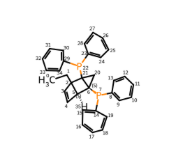 CCC12C=C[C@@H]1[C@@]1(P(c3ccccc3)c3ccccc3)CC21P(c1ccccc1)c1ccccc1